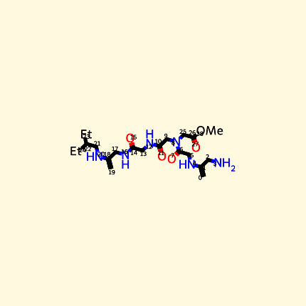 C=C(CN)NCC(=O)N(CC(=O)NCC(=O)NCC(=C)NCC(CC)CC)CC(=O)OC